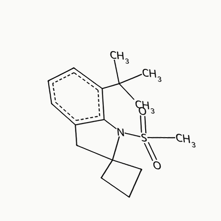 CC(C)(C)c1cccc2c1N(S(C)(=O)=O)C1(CCC1)C2